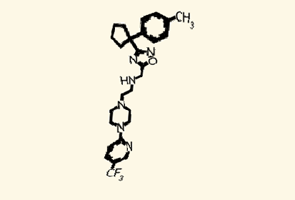 Cc1ccc(C2(c3noc(CNCCN4CCN(c5ccc(C(F)(F)F)cn5)CC4)n3)CCCC2)cc1